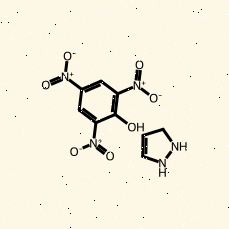 C1=CNNC1.O=[N+]([O-])c1cc([N+](=O)[O-])c(O)c([N+](=O)[O-])c1